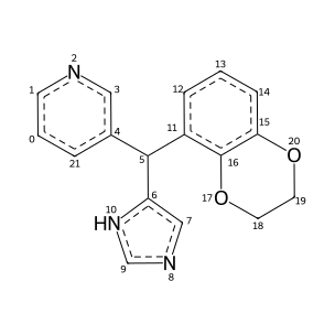 c1cncc(C(c2cnc[nH]2)c2cccc3c2OCCO3)c1